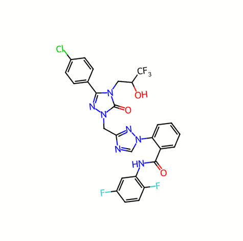 O=C(Nc1cc(F)ccc1F)c1ccccc1-n1cnc(Cn2nc(-c3ccc(Cl)cc3)n(CC(O)C(F)(F)F)c2=O)n1